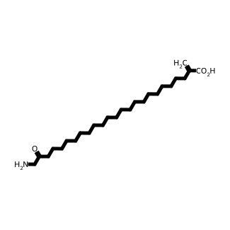 C=C(CCCCCCCCCCCCCCCCCCCCCC(=O)CN)C(=O)O